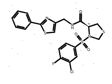 O=C(NCc1csc(-c2ccccc2)n1)[C@H]1CSCN1S(=O)(=O)c1ccc(F)c(Cl)c1